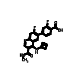 CNC(=O)c1cnc2cc(F)c(-c3ccc(C(=O)O)c(F)c3)cc2c1NC12CC(C1)C2